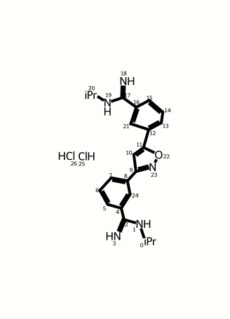 CC(C)NC(=N)c1cccc(-c2cc(-c3cccc(C(=N)NC(C)C)c3)on2)c1.Cl.Cl